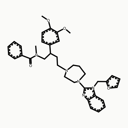 COc1ccc(C(CCN2CCCN(c3nc4ccccc4n3Cc3ccco3)CC2)CN(C)C(=O)c2ccccc2)cc1OC